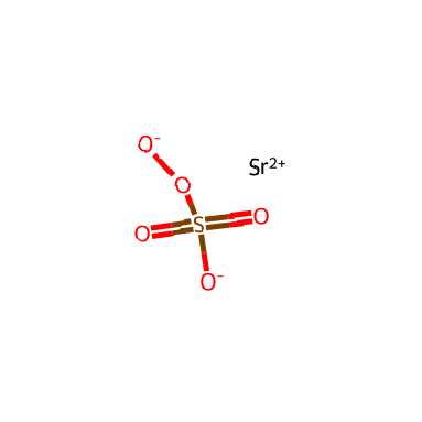 O=S(=O)([O-])O[O-].[Sr+2]